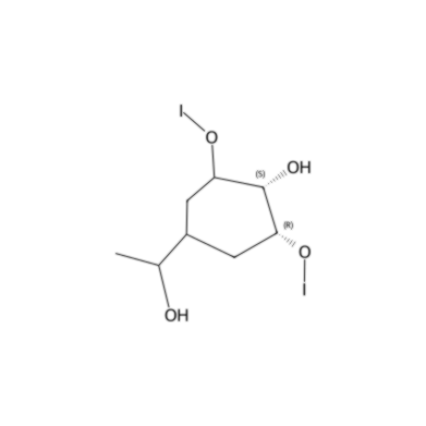 CC(O)C1CC(OI)[C@H](O)[C@H](OI)C1